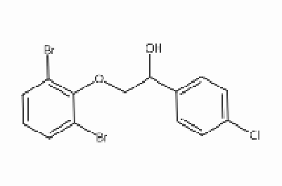 OC(COc1c(Br)cccc1Br)c1ccc(Cl)cc1